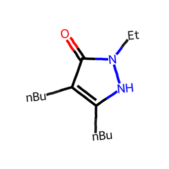 CCCCc1[nH]n(CC)c(=O)c1CCCC